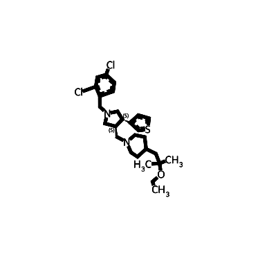 CCOC(C)(C)CC1CCN(C[C@H]2CN(Cc3ccc(Cl)cc3Cl)C[C@@H]2c2ccsc2)CC1